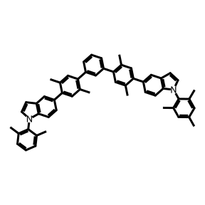 Cc1cc(C)c(-n2ccc3cc(-c4cc(C)c(-c5cccc(-c6cc(C)c(-c7ccc8c(ccn8-c8c(C)cccc8C)c7)cc6C)c5)cc4C)ccc32)c(C)c1